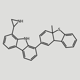 CC12C=CC(c3cccc4c3[nH]c3c(C5CN5)cccc34)=CC1c1ccccc1S2